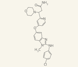 Cn1c(Nc2ccc(Cl)cc2)nc2cc(Oc3ccnc(C(CC(N)=O)N4CCOCC4)c3)ccc21